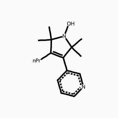 CCCC1=C(c2cccnc2)C(C)(C)N(O)C1(C)C